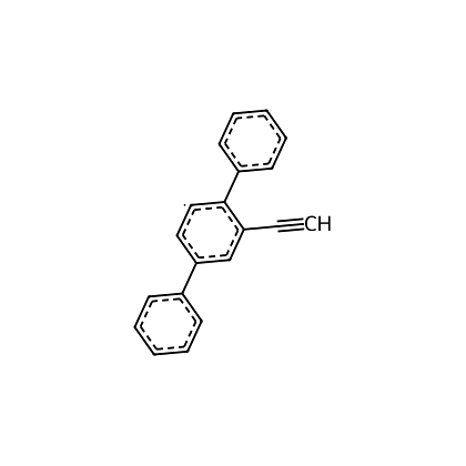 C#Cc1cc(-c2ccccc2)c[c]c1-c1ccccc1